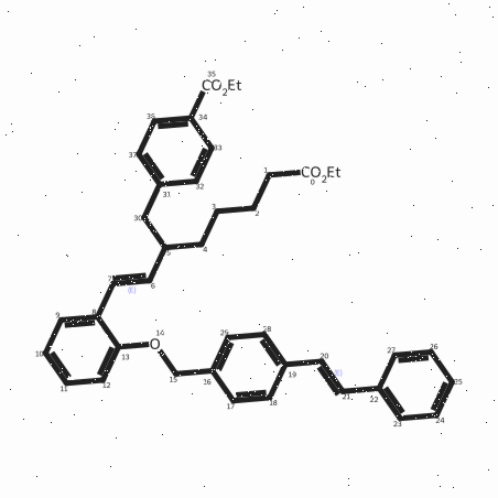 CCOC(=O)CCCCC(/C=C/c1ccccc1OCc1ccc(/C=C/c2ccccc2)cc1)Cc1ccc(C(=O)OCC)cc1